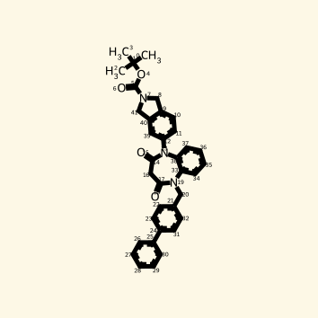 CC(C)(C)OC(=O)N1Cc2ccc(N3C(=O)CC(=O)N(Cc4ccc(-c5ccccc5)cc4)c4ccccc43)cc2C1